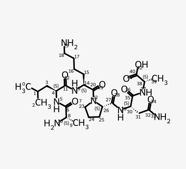 CC(C)C[C@H](NC(=O)[C@H](C)N)C(=O)N[C@@H](CCCCN)C(=O)N1CCC[C@H]1C(=O)N[C@@H](CC(N)=O)C(=O)N[C@@H](C)C(=O)O